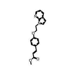 COC(=O)C=Cc1ccc(OCCn2ccc3cccnc32)cc1